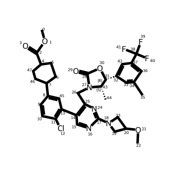 COC(=O)C1CCC(c2ccc(Cl)c(-c3cnc(N4CC(OC)C4)nc3CN3C(=O)O[C@H](c4cc(C)cc(C(F)(F)F)c4)[C@@H]3C)c2)CC1